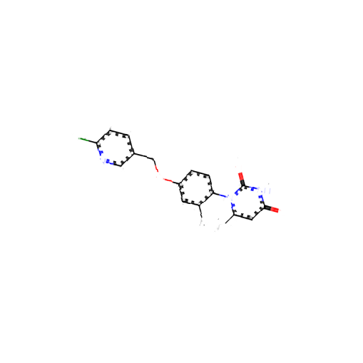 O=c1cc(C(F)(F)F)n(-c2ccc(OCc3ccc(Cl)nc3)cc2[N+](=O)[O-])c(=O)[nH]1